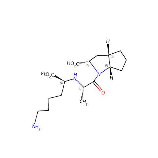 CCOC(=O)[C@H](CCCCN)N[C@@H](C)C(=O)N1[C@H](C(=O)O)C[C@@H]2CCC[C@@H]21